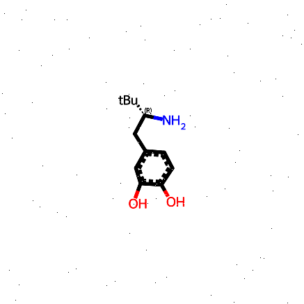 CC(C)(C)[C@H](N)Cc1ccc(O)c(O)c1